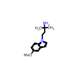 COc1ccc2c(ccn2CCC(C)(C)N)c1